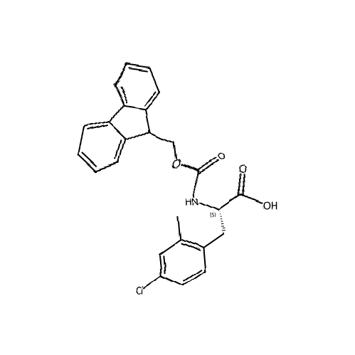 Cc1cc(Cl)ccc1C[C@H](NC(=O)OCC1c2ccccc2-c2ccccc21)C(=O)O